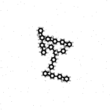 c1cc(-c2cc(-c3ccc(-c4ccc(-n5c6ccccc6c6ccc(-c7ccc8c(c7)oc7ccccc78)cc65)cc4)cc3)nc(-c3cccc(-n4c5ccccc5c5ccc(-c6ccc7c(c6)oc6ccccc67)cc54)c3)n2)cc(-n2c3ccccc3c3ccc(-c4ccc5c(c4)oc4ccccc45)cc32)c1